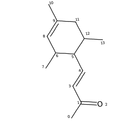 CC(=O)C=CC1C(C)C=C(C)CC1C